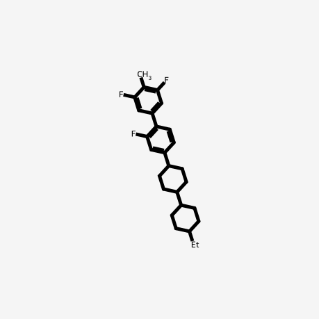 CCC1CCC(C2CCC(c3ccc(-c4cc(F)c(C)c(F)c4)c(F)c3)CC2)CC1